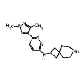 Cc1nn(C)cc1-c1ccc(NC2CC3(CCNCC3)C2)nn1